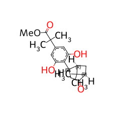 COC(=O)C(C)(C)c1cc(O)c([C@@H]2CC(=O)[C@@H]3C[C@H]2C3(C)C)c(O)c1